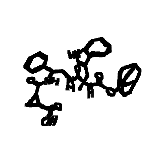 CC(Cc1c[nH]c2ccccc12)(NC(=O)OC1C2CC3CC(C2)CC1C3)C(=O)NCC(NC(=O)C1CC1C(=O)O)c1ccccc1